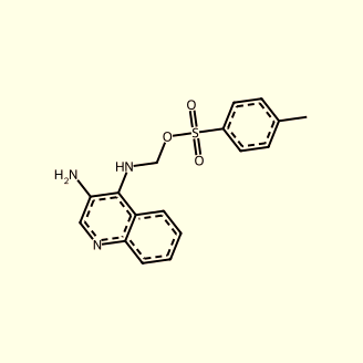 Cc1ccc(S(=O)(=O)OCNc2c(N)cnc3ccccc23)cc1